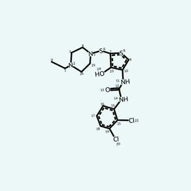 CCN1CCN(Sc2scc(NC(=O)Nc3cccc(Cl)c3Cl)c2O)CC1